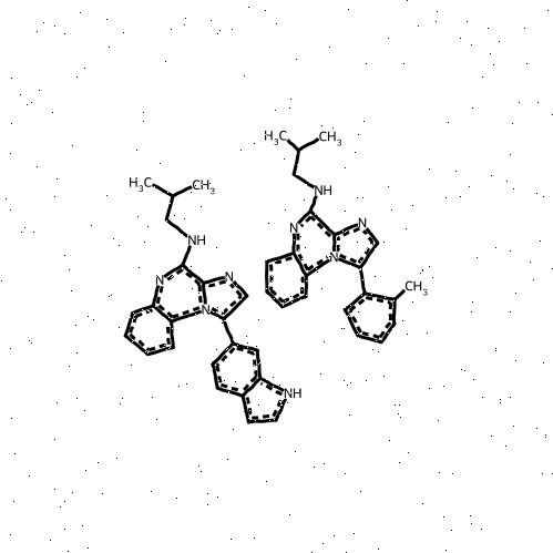 CC(C)CNc1nc2ccccc2n2c(-c3ccc4cc[nH]c4c3)cnc12.Cc1ccccc1-c1cnc2c(NCC(C)C)nc3ccccc3n12